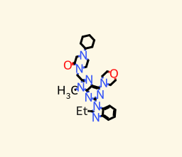 CCc1nc2ccccc2n1-c1nc(N2CCOCC2)c2nc(CN3CCN(C4CCCCC4)CC3=O)n(C)c2n1